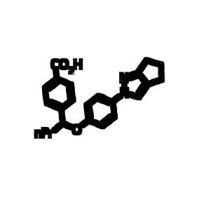 CCCC(Oc1ccc(-n2cc3c(n2)CCC3)cc1)c1ccc(C(=O)O)cc1